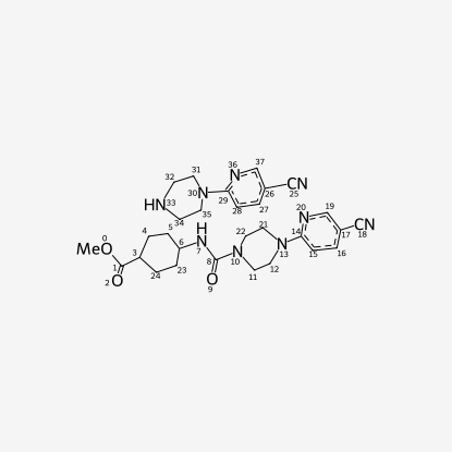 COC(=O)C1CCC(NC(=O)N2CCN(c3ccc(C#N)cn3)CC2)CC1.N#Cc1ccc(N2CCNCC2)nc1